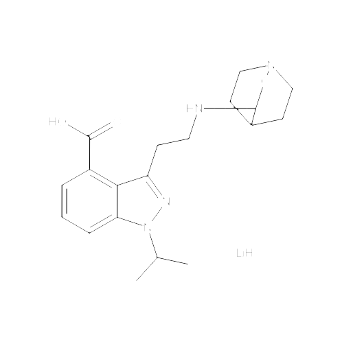 CC(C)n1nc(CCNC2CN3CCC2CC3)c2c(C(=O)O)cccc21.[LiH]